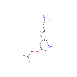 CC(C)COC1=CC(/C=C/CCN)=CN(C)C1